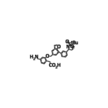 CC(C)(C)S(=O)(=O)N=C(CF)c1cccc(-c2cc(COc3cc(CN)ccc3CC(=O)O)cc3ccoc23)c1